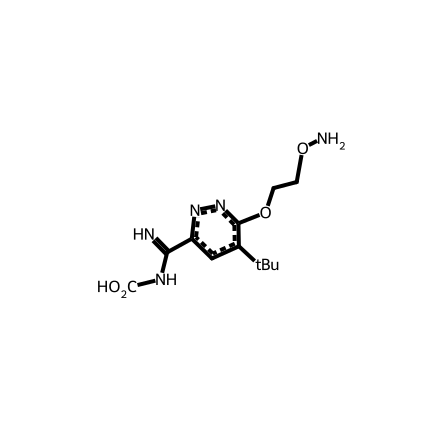 CC(C)(C)c1cc(C(=N)NC(=O)O)nnc1OCCON